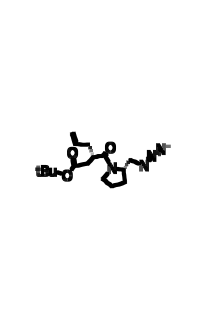 C=CC[C@@H](CC(=O)OC(C)(C)C)C(=O)N1CCC[C@H]1CN=[N+]=[N-]